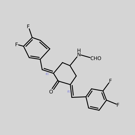 O=CNC1C/C(=C\c2ccc(F)c(F)c2)C(=O)/C(=C/c2ccc(F)c(F)c2)C1